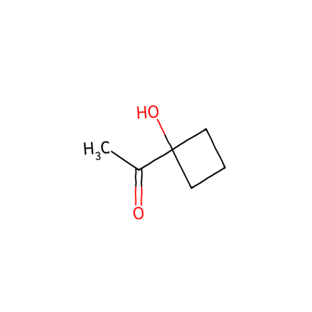 CC(=O)C1(O)CCC1